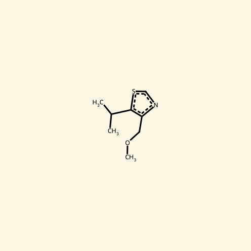 COCc1ncsc1C(C)C